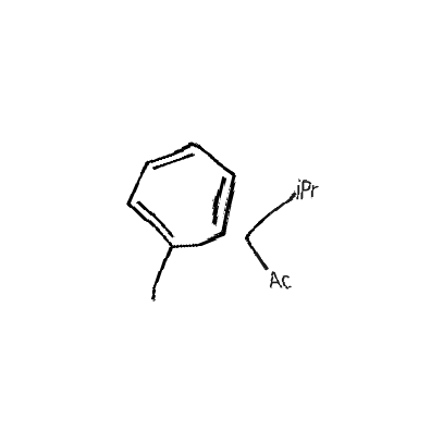 CC(=O)CC(C)C.Cc1ccccc1